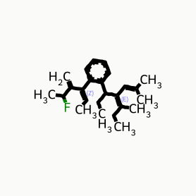 C=C(/C(=C\C)c1ccccc1C(CC)/C(C=C(C)C)=C(/C)CC)C(C)F